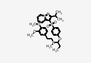 CCC(Oc1ccc(S(=O)(=O)c2c(C(C)C)nn3ccccc23)cc1)N(C)CCc1ccc(OC)c(OC)c1